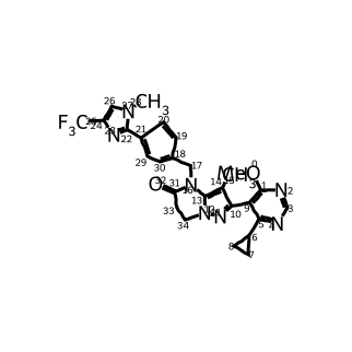 COc1ncnc(C2CC2)c1-c1nn2c(c1C)N(Cc1ccc(-c3nc(C(F)(F)F)cn3C)cc1)C(=O)CC2